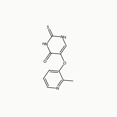 Cc1ncccc1Oc1c[nH]c(=S)[nH]c1=O